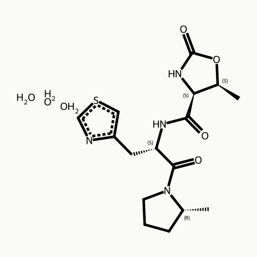 C[C@@H]1OC(=O)N[C@@H]1C(=O)N[C@@H](Cc1cscn1)C(=O)N1CCC[C@H]1C.O.O.O